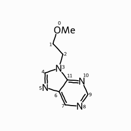 COCCn1cnc2cncnc21